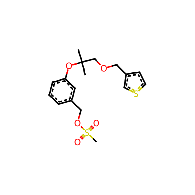 CC(C)(COCc1ccsc1)Oc1cccc(COS(C)(=O)=O)c1